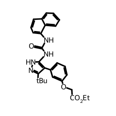 CCOC(=O)COc1cccc(-c2c(C(C)(C)C)n[nH]c2NC(=O)Nc2cccc3ccccc23)c1